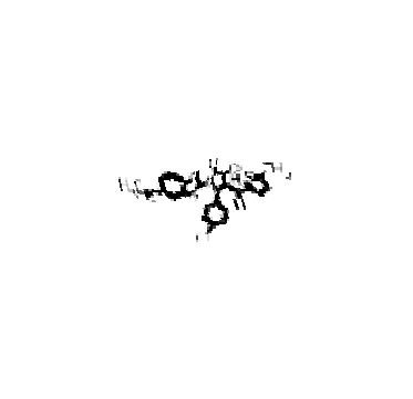 COc1ccc2nc(N3C(=O)C(O)=C(C(=O)c4ccc(C)s4)C3c3ccc(Cl)cc3)sc2c1